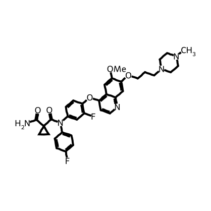 COc1cc2c(Oc3ccc(N(C(=O)C4(C(N)=O)CC4)c4ccc(F)cc4)cc3F)ccnc2cc1OCCCN1CCN(C)CC1